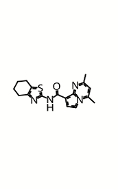 Cc1cc(C)n2ccc(C(=O)Nc3nc4c(s3)CCCC4)c2n1